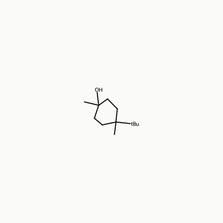 CC1(O)CCC(C)(C(C)(C)C)CC1